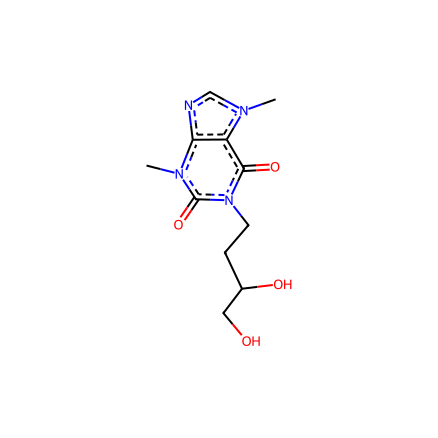 Cn1cnc2c1c(=O)n(CCC(O)CO)c(=O)n2C